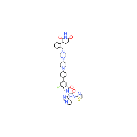 O=C1CCC(c2ccccc2CN2CCN(C3CCN(c4ccc(-c5cc(F)c6c(c5)C(=O)N(C(C(=O)Nc5nccs5)c5ncn7c5CCC7)C6)cc4)CC3)CC2)C(=O)N1